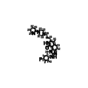 Cc1cc(F)ccc1Nc1nc2ccc3c(C)c(C=CCN4CCN(c5ccccn5)CC4)[nH]c(=O)c3c2n1C